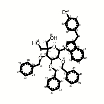 CCc1ccc(Cc2cn(C3OC(CO)(CO)[C@H](OCc4ccccc4)[C@H](OCc4ccccc4)[C@H]3OCc3ccccc3)c3ccccc23)cc1